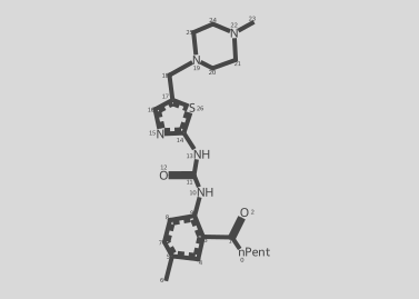 CCCCCC(=O)c1cc(C)ccc1NC(=O)Nc1ncc(CN2CCN(C)CC2)s1